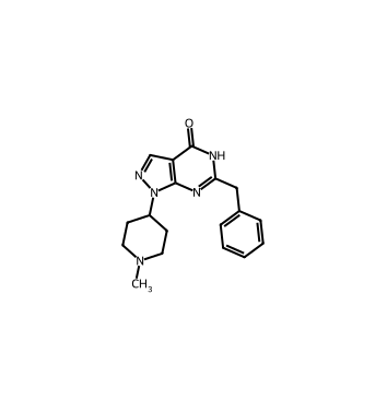 CN1CCC(n2ncc3c(=O)[nH]c(Cc4ccccc4)nc32)CC1